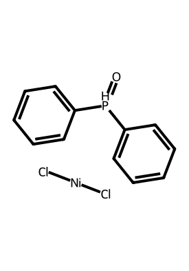 O=[PH](c1ccccc1)c1ccccc1.[Cl][Ni][Cl]